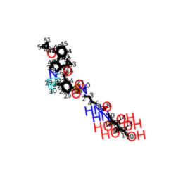 CN(CCCCNC(=O)NC[C@H](O)[C@@H](O)[C@H](O)[C@H](O)CO)S(=O)(=O)c1ccc(C(F)(F)F)c(COC2(c3cnccc3-c3ccccc3OC3CC3)CC2)c1